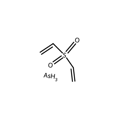 C=CS(=O)(=O)C=C.[AsH3]